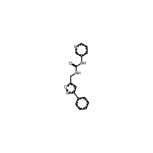 O=C(NCc1cc(-c2ccccc2)no1)Nc1cccnc1